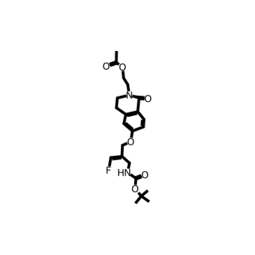 CC(=O)OCCN1CCc2cc(OC/C(=C/F)CNC(=O)OC(C)(C)C)ccc2C1=O